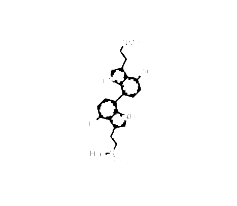 CNCCc1c[nH]c2c(-c3ccc(O)c4c(CCN(C)C)c[nH]c34)ccc(O)c12